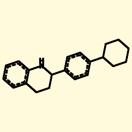 c1ccc2c(c1)CCC(c1ccc(C3CCCCC3)cc1)N2